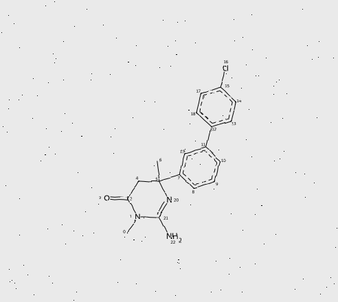 CN1C(=O)CC(C)(c2cccc(-c3ccc(Cl)cc3)c2)N=C1N